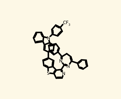 FC(F)(F)c1ccc(-n2c3ccccc3c3cc(-c4ccc5sc6ccnc(C7=NC(c8ccccc8)=CCC(c8ccccc8)=N7)c6c5c4)ccc32)cc1